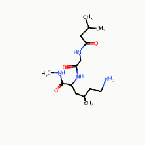 CNC(=O)C(CC(C)CCN)NC(=O)CNC(=O)CC(C)C